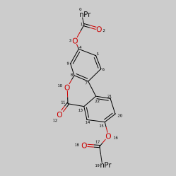 CCCC(=O)Oc1ccc2c(c1)oc(=O)c1cc(OC(=O)CCC)ccc12